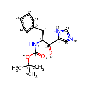 CC(C)(C)OC(=O)N[C@@H](Cc1ccccc1)C(=O)c1cnc[nH]1